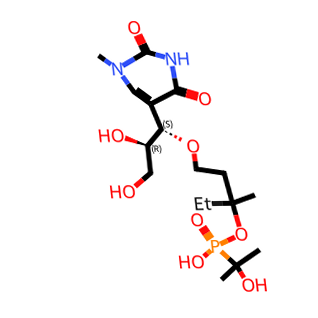 CCC(C)(CCO[C@@H](c1cn(C)c(=O)[nH]c1=O)[C@H](O)CO)OP(=O)(O)C(C)(C)O